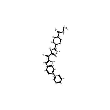 COC(=O)N1CCC(c2nnc(C(=O)c3nc4ccc(-c5ccccc5)cc4s3)o2)CC1